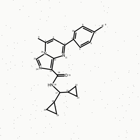 Cc1cc(-c2ccc(F)cc2)nc2c(C(=O)NC(C3CC3)C3CC3)ncn12